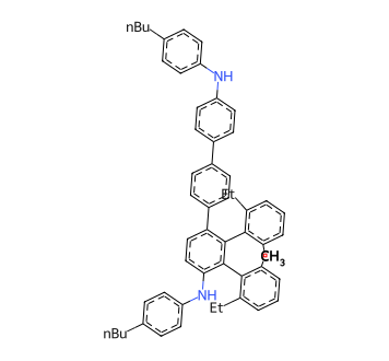 CCCCc1ccc(Nc2ccc(-c3ccc(-c4ccc(Nc5ccc(CCCC)cc5)c(-c5c(C)cccc5CC)c4-c4c(C)cccc4CC)cc3)cc2)cc1